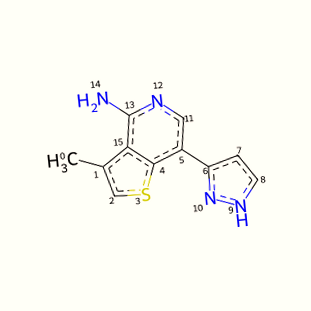 Cc1csc2c(-c3cc[nH]n3)cnc(N)c12